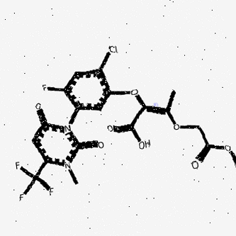 COC(=O)CO/C(C)=C(/Oc1cc(-n2c(=O)cc(C(F)(F)F)n(C)c2=O)c(F)cc1Cl)C(=O)O